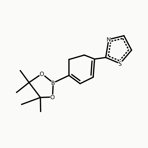 CC1(C)OB(C2=CC=C(c3nccs3)CC2)OC1(C)C